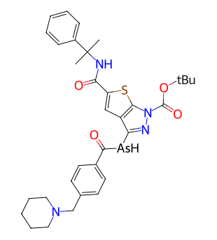 CC(C)(C)OC(=O)n1nc([AsH]C(=O)c2ccc(CN3CCCCC3)cc2)c2cc(C(=O)NC(C)(C)c3ccccc3)sc21